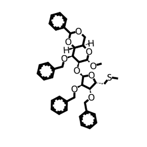 CO[C@H]1O[C@@H]2COC(c3ccccc3)O[C@H]2[C@H](OCc2ccccc2)[C@@H]1O[C@H]1O[C@H](CSC)[C@H](OCc2ccccc2)[C@H]1OCc1ccccc1